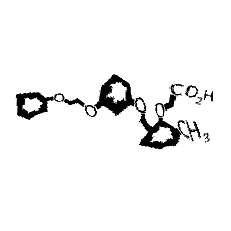 Cc1cccc(COc2cccc(OCCOc3ccccc3)c2)c1OCC(=O)O